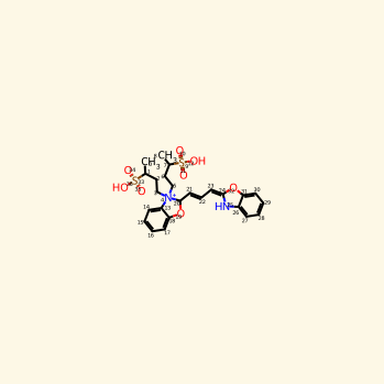 CC(CC[N+]1(CCC(C)S(=O)(=O)O)c2ccccc2OC1C=CC=C1Nc2ccccc2O1)S(=O)(=O)O